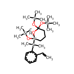 C=Cc1ccccc1[Si](C)(C)[Si]1(O[Si](C)(C)C)CCCC(O[Si](C)(C)C)(O[Si](C)(C)C)O1